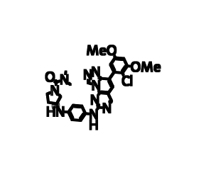 COc1cc(OC)c(Cl)c(-c2cc3cnc(Nc4ccc(N[C@H]5CCN(C(=O)N(C)C)C5)cc4)nc3n3cnnc23)c1